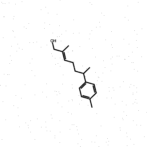 C/C(=C\CCC(C)c1ccc(C)cc1)CO